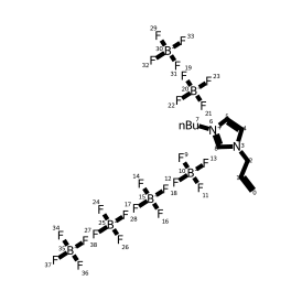 C=CCn1cc[n+](CCCC)c1.F[B-](F)(F)F.F[B-](F)(F)F.F[B-](F)(F)F.F[B-](F)(F)F.F[B-](F)(F)F.F[B-](F)(F)F